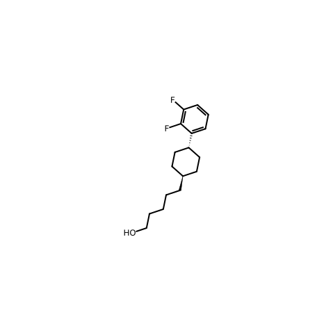 OCCCCC[C@H]1CC[C@H](c2cccc(F)c2F)CC1